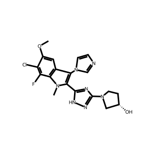 COc1cc2c(-n3ccnc3)c(-c3nc(N4CC[C@H](O)C4)n[nH]3)n(C)c2c(F)c1Cl